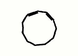 [C]1=C\C=C/CCCCCCC/1